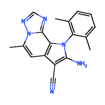 Cc1cccc(C)c1-n1c(N)c(C#N)c2cc(C)n3ncnc3c21